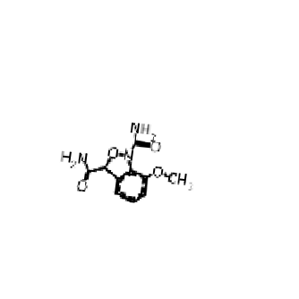 COc1cccc2c1N(C(N)=O)OC2C(N)=O